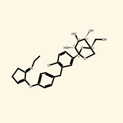 CC/N=C1\CCC=C1Oc1ccc(Cc2cc([C@]34OC[C@](CO)(O3)[C@@H](O)[C@H](O)[C@H]4O)ccc2Cl)cc1